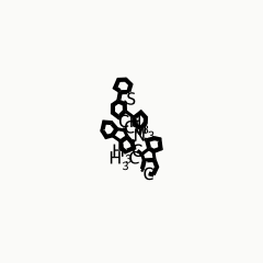 CC1(C)c2ccccc2-c2cccc(N(c3cccc(-c4cccc5c4sc4ccccc45)c3)c3cccc4c3C(C)(C)c3ccccc3-4)c21